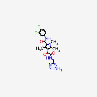 Cc1c(C(=O)C(=O)NC/C(N=N)=N/N)c(C)n(C)c1C(=O)Nc1ccc(F)c(F)c1